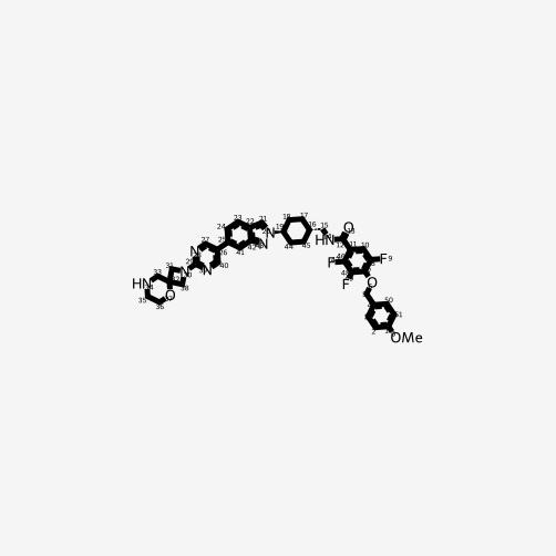 COc1ccc(COc2c(F)cc(C(=O)NC[C@H]3CC[C@H](n4cc5ccc(-c6cnc(N7CC8(CNCCO8)C7)nc6)cc5n4)CC3)c(F)c2F)cc1